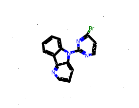 Brc1ccnc(-n2c3ccccc3c3ncccc32)n1